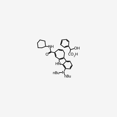 CCCCN(CCCC)c1cccc2c3c([nH]c12)C=C(C(=O)NC1CCCCC1)C=CC3.O=C(O)C(O)c1ccccc1